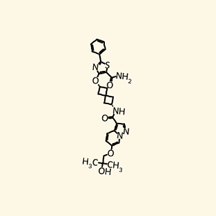 CC(C)(O)COc1ccc2c(C(=O)N[C@H]3CC4(C3)C[C@H](Oc3nc(-c5ccccc5)sc3C(N)=O)C4)cnn2c1